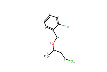 CC(CCCl)OCc1ccccc1F